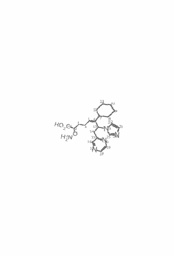 NOC(CCC=C(C1CCCCC1)C(Cc1cnccn1)n1ccnc1)C(=O)O